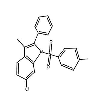 Cc1ccc(S(=O)(=O)n2c(-c3ccccc3)c(C)c3ccc(Cl)cc32)cc1